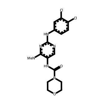 CNc1nc(Nc2ccc(Cl)c(Cl)c2)ncc1NC(=O)N1CCOCC1